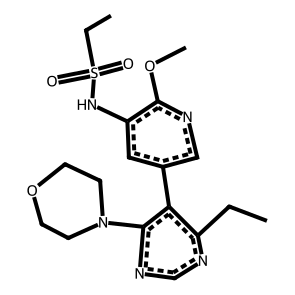 CCc1ncnc(N2CCOCC2)c1-c1cnc(OC)c(NS(=O)(=O)CC)c1